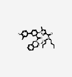 CCCCN(CCCC)C(=O)c1cc(C)n(-c2ccc(-c3ccc(F)c(C)c3)cc2C(=O)N2Cc3ccccc3C[C@H]2CO)n1